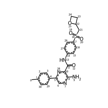 Cc1ccc(-c2cnc(N)c(C(=O)Nc3ccc(S(=O)(=O)CC4CCO4)cc3)n2)cc1